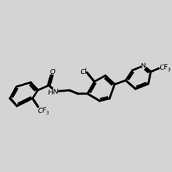 O=C(NCCc1ccc(-c2ccc(C(F)(F)F)nc2)cc1Cl)c1ccccc1C(F)(F)F